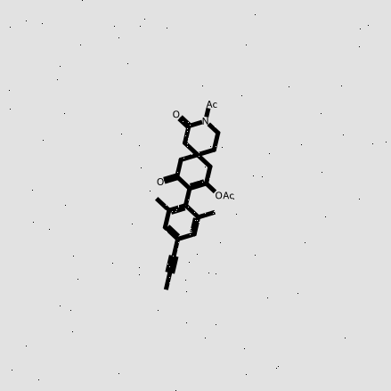 CC#Cc1cc(C)c(C2=C(OC(C)=O)CC3(CCN(C(C)=O)C(=O)C3)CC2=O)c(C)c1